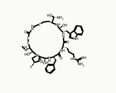 CN[C@H]1CCC(=O)NCCCC[C@@H]([C@@H](N)O)N[C@@H](O)[C@H](Cc2c[nH]c3ccccc23)NC(=O)[C@H](CCCNC(=N)N)NC(=O)[C@@H](Cc2ccccc2)N[C@@H](O)[C@@H]2C[C@@H](F)CN2[C@H]1O